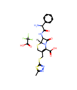 Cc1nnc(SCC2=C(C(=O)O)N3C(=O)C(NC(=O)C(N)c4ccccc4)[C@H]3SC2)s1.O=C(O)C(F)(F)F